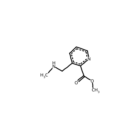 CNCc1cccnc1C(=O)OC